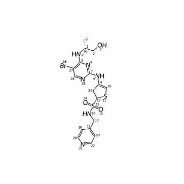 C[C@H](CO)Nc1nc(NC2=CSC(S(=O)(=O)NCc3ccncc3)C2)ncc1Br